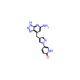 Nc1cc(Cc2cnn(-c3ccc(=O)[nH]c3)c2)c2nn[nH]c2n1